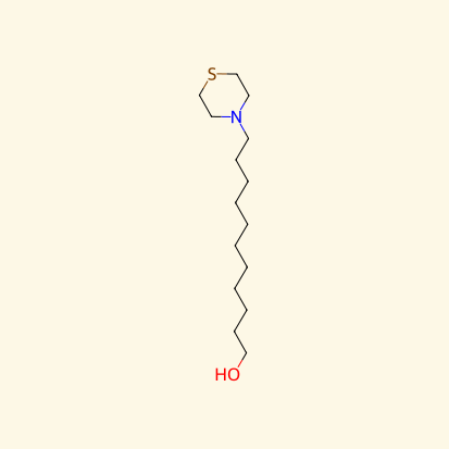 OCCCCCCCCCCCN1CCSCC1